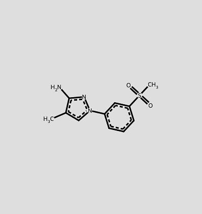 Cc1cn(-c2cccc(S(C)(=O)=O)c2)nc1N